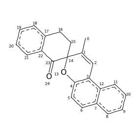 CC1=Cc2c(ccc3ccccc23)OC12CCc1ccccc1C2=O